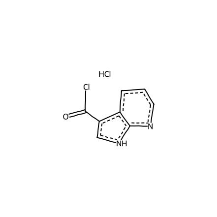 Cl.O=C(Cl)c1c[nH]c2ncccc12